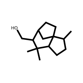 CC1CCC2C(C)(C)C(CO)C3CCC12C3